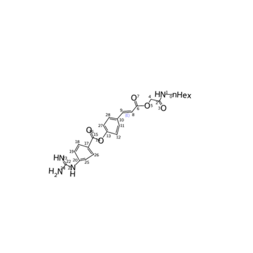 CCCCCCNC(=O)COC(=O)/C=C/c1ccc(OC(=O)c2ccc(NC(=N)N)cc2)cc1